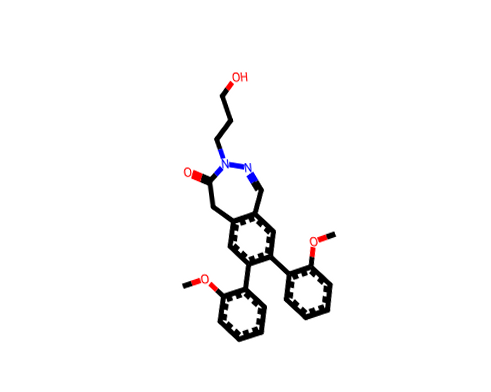 COc1ccccc1-c1cc2c(cc1-c1ccccc1OC)CC(=O)N(CCCO)N=C2